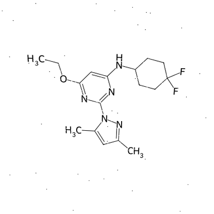 CCOc1cc(NC2CCC(F)(F)CC2)nc(-n2nc(C)cc2C)n1